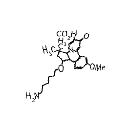 COc1ccc2c(c1)-c1cc(=O)c(C(=O)O)cn1C1C2C(OCCCCCCN)CC1(C)C